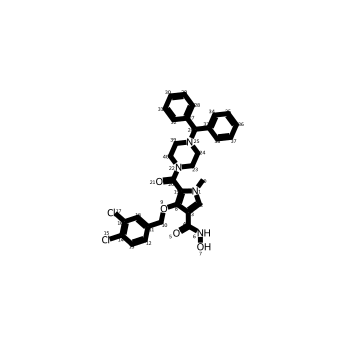 Cn1cc(C(=O)NO)c(OCc2ccc(Cl)c(Cl)c2)c1C(=O)N1CCN(C(c2ccccc2)c2ccccc2)CC1